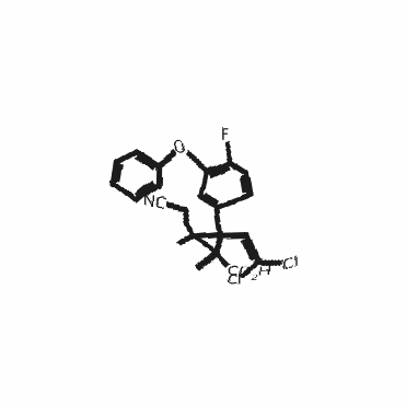 CC1(CC#N)C(C)(C(=O)O)C1(C=C(Cl)Cl)c1ccc(F)c(Oc2ccccc2)c1